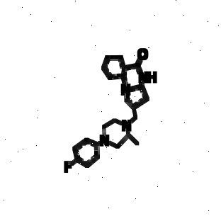 CC1CN(c2ccc(F)cc2)CCN1Cc1cc2[nH]c(=O)c3ccccc3n2c1